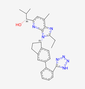 CCc1nc2c(C)cc([C@H](O)C(C)C)nc2n1[C@H]1CCc2cc(-c3ccccc3-c3nnn[nH]3)ccc21